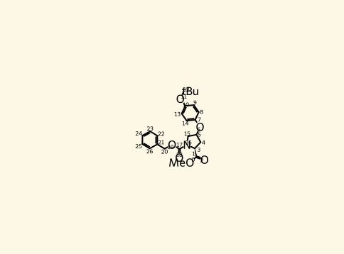 COC(=O)[C@@H]1CC(Oc2ccc(OC(C)(C)C)cc2)CN1C(=O)OCc1ccccc1